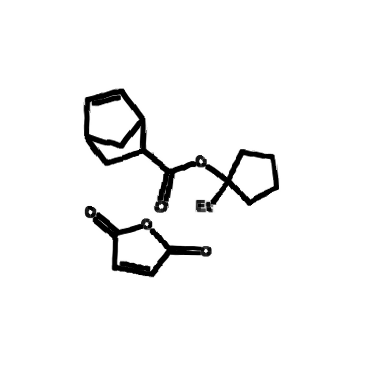 CCC1(OC(=O)C2CC3C=CC2C3)CCCC1.O=C1C=CC(=O)O1